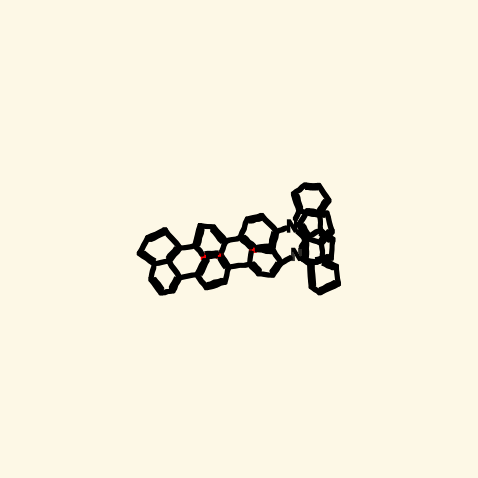 c1cc(-c2ccc(-c3ccc(-n4c5ccccc5c5ccccc54)cc3)cc2)c2c(-c3ccc(-c4ccc(-n5c6ccccc6c6ccccc65)cc4)cc3)cccc2c1